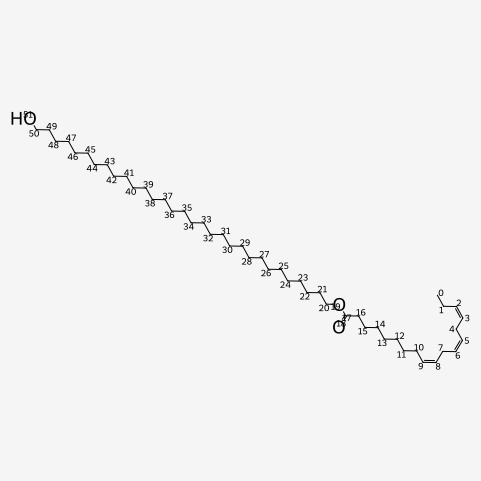 CC/C=C\C/C=C\C/C=C\CCCCCCCC(=O)OCCCCCCCCCCCCCCCCCCCCCCCCCCCCCCCO